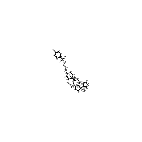 Cc1ccc(S(=O)(=O)OCCOC2C=C3CC[C@@H]4[C@@H](CC[C@]5(C)C(O)(c6ccoc6)CC[C@@]45O)[C@@]3(C)CC2)cc1